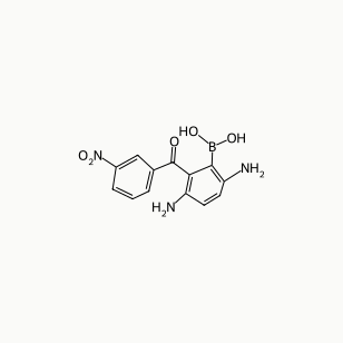 Nc1ccc(N)c(C(=O)c2cccc([N+](=O)[O-])c2)c1B(O)O